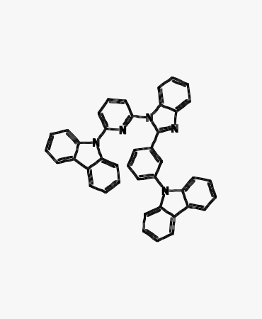 c1cc(-c2nc3ccccc3n2-c2cccc(-n3c4ccccc4c4ccccc43)n2)cc(-n2c3ccccc3c3ccccc32)c1